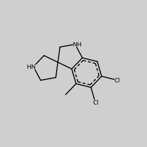 Cc1c(Cl)c(Cl)cc2c1C1(CCNC1)CN2